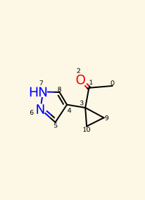 CC(=O)C1(c2cn[nH]c2)CC1